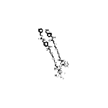 CC(C)(C)OC(=O)NCCOCCOCCOCCC(=O)Nc1ccc(CN)cc1.CC(C)(C)OC(=O)NCCOCCOCCOCCC(=O)Nc1ccc(CNC(=O)OCc2ccccc2)cc1